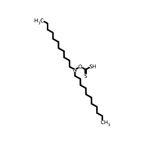 CCCCCCCCCCCN(CCCCCCCCCCC)OC(=S)S